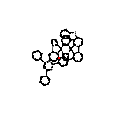 c1ccc(-c2cc(-c3ccccc3)nc(-c3ccc(-c4cccc5c4C4(c6ccccc6C6(c7ccccc7-c7ccccc76)c6ccccc64)c4c-5ccc5sc6ccccc6c45)cc3)n2)cc1